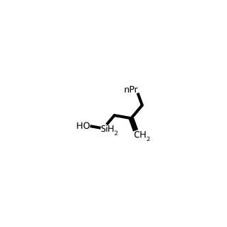 C=C(CCCC)C[SiH2]O